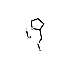 CCCCOCC1CCCO1.CCO